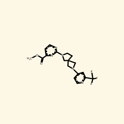 COC(=O)c1ccnc(N2CCC3(CN(c4ccnc(C(F)(F)F)c4)C3)C2)n1